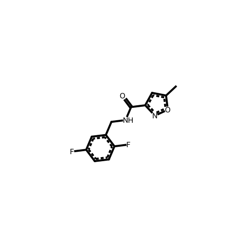 Cc1cc(C(=O)NCc2cc(F)ccc2F)no1